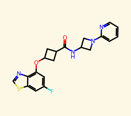 O=C(NC1CN(c2ccccn2)C1)C1CC(Oc2cc(F)cc3scnc23)C1